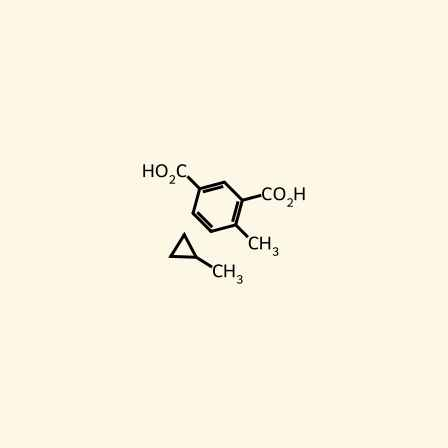 CC1CC1.Cc1ccc(C(=O)O)cc1C(=O)O